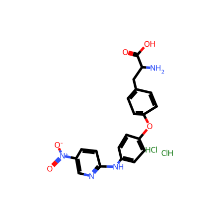 Cl.Cl.NC(Cc1ccc(Oc2ccc(Nc3ccc([N+](=O)[O-])cn3)cc2)cc1)C(=O)O